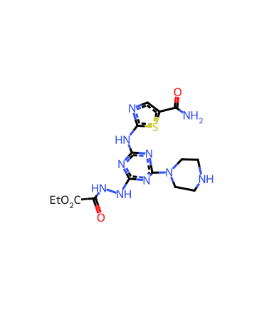 CCOC(=O)C(=O)NNc1nc(Nc2ncc(C(N)=O)s2)nc(N2CCNCC2)n1